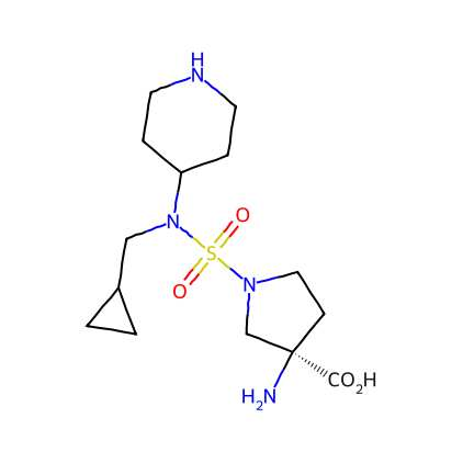 N[C@]1(C(=O)O)CCN(S(=O)(=O)N(CC2CC2)C2CCNCC2)C1